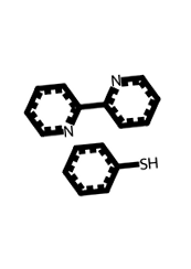 Sc1ccccc1.c1ccc(-c2ccccn2)nc1